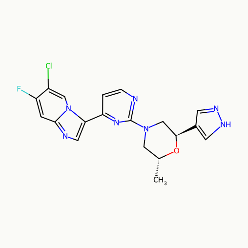 C[C@@H]1CN(c2nccc(-c3cnc4cc(F)c(Cl)cn34)n2)C[C@@H](c2cn[nH]c2)O1